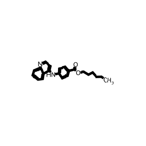 CCCCCCOC(=O)c1ccc(Nc2ccnc3ccccc23)cc1